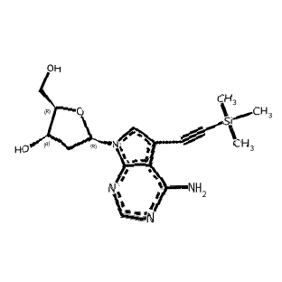 C[Si](C)(C)C#Cc1cn([C@H]2C[C@@H](O)[C@@H](CO)O2)c2ncnc(N)c12